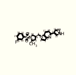 C[C@H]1C[C@H](Cn2ccc3nc(-c4cn[nH]c4)ccc32)CN1S(=O)(=O)c1cccc(F)c1